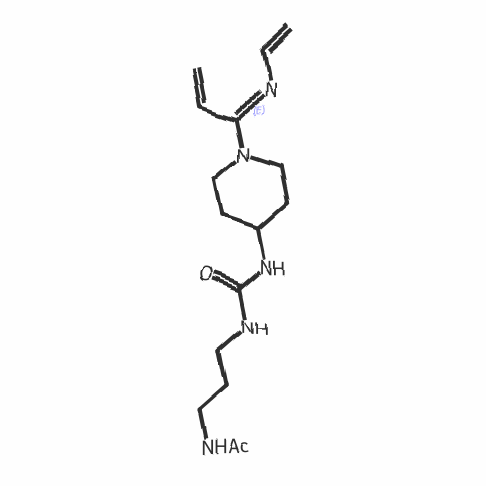 C=C/N=C(\C=C)N1CCC(NC(=O)NCCCNC(C)=O)CC1